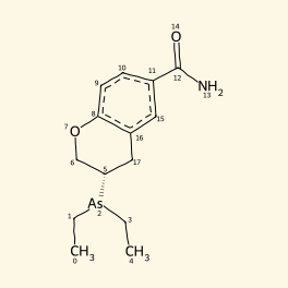 CC[As](CC)[C@@H]1COc2ccc(C(N)=O)cc2C1